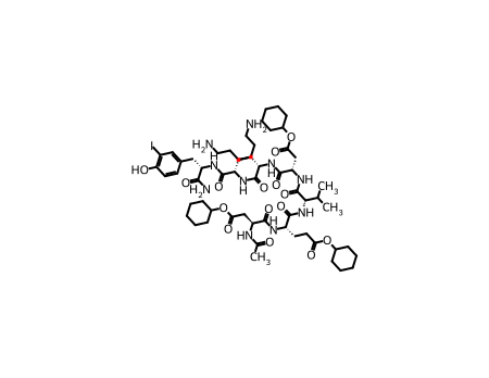 CC(=O)N[C@@H](CC(=O)OC1CCCCC1)C(=O)N[C@@H](CCC(=O)OC1CCCCC1)C(=O)N[C@H](C(=O)N[C@@H](CC(=O)OC1CCCCC1)C(=O)N[C@@H](CCCCN)C(=O)N[C@@H](CCCCN)C(=O)N[C@@H](Cc1ccc(O)c(I)c1)C(N)=O)C(C)C